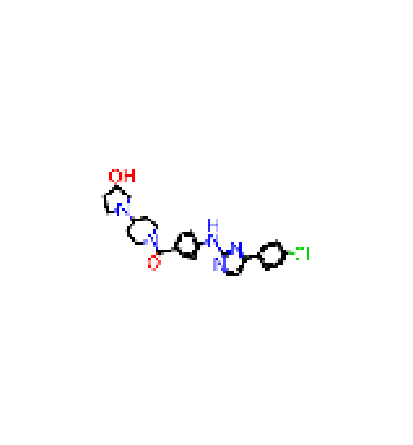 O=C(c1ccc(Nc2nccc(-c3ccc(Cl)cc3)n2)cc1)N1CCC(N2CCC(O)C2)CC1